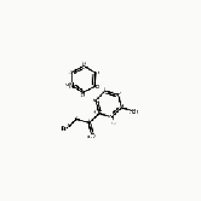 O=C(CBr)c1cccc(Br)n1.c1ccncc1